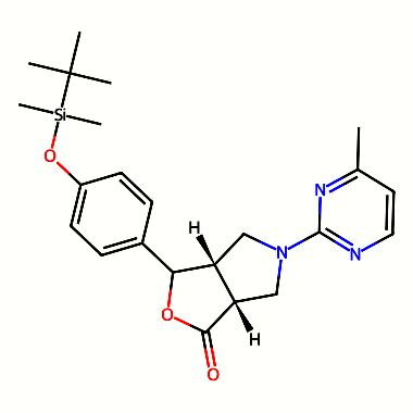 Cc1ccnc(N2C[C@@H]3C(=O)OC(c4ccc(O[Si](C)(C)C(C)(C)C)cc4)[C@@H]3C2)n1